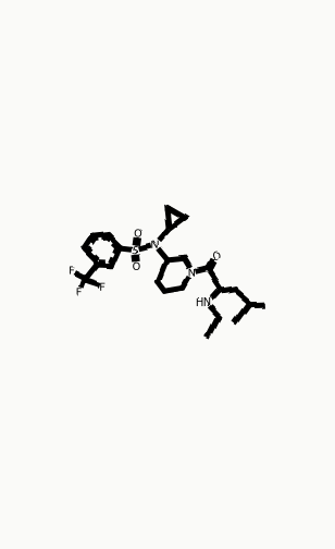 CCNC(CC(C)C)C(=O)N1CCCC(N(C2CC2)S(=O)(=O)c2cccc(C(F)(F)F)c2)C1